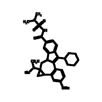 COc1ccc2c(c1)C1CC1(N(C(=O)O)C(C)(C)C)Cn1c-2c(C2CCCCC2)c2ccc(C(=O)NS(=O)(=O)N(C)C)cc21